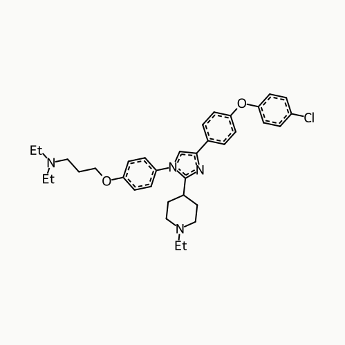 CCN(CC)CCCOc1ccc(-n2cc(-c3ccc(Oc4ccc(Cl)cc4)cc3)nc2C2CCN(CC)CC2)cc1